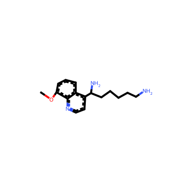 COc1cccc2c(C(N)CCCCCN)ccnc12